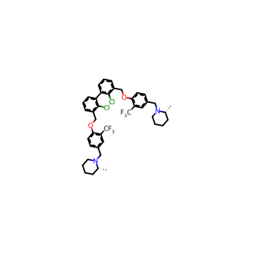 C[C@@H]1CCCCN1Cc1ccc(OCc2cccc(-c3cccc(COc4ccc(CN5CCCC[C@H]5C)cc4C(F)(F)F)c3Cl)c2Cl)c(C(F)(F)F)c1